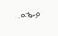 Cc1c(C)n(Cc2cccc(OC(C)(C)C)c2)c2ccc(C(=O)N[C@@H](C)c3ccc(C(C)(C)C)cc3)cc12